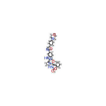 COC(=O)N[C@@H](C(=O)N1CCC[C@H]1c1nc2ccc(C3=NCC(c4ccc(N5CCOCC5)cc4)O3)cc2[nH]1)c1ccccc1